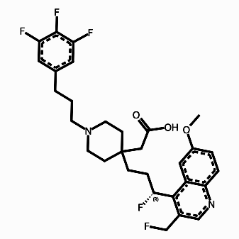 COc1ccc2ncc(CF)c([C@H](F)CCC3(CC(=O)O)CCN(CCCc4cc(F)c(F)c(F)c4)CC3)c2c1